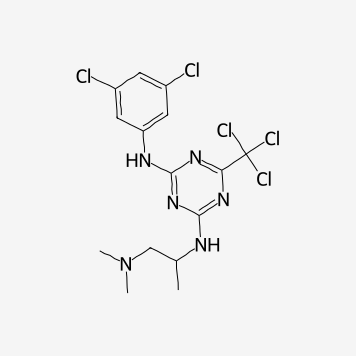 CC(CN(C)C)Nc1nc(Nc2cc(Cl)cc(Cl)c2)nc(C(Cl)(Cl)Cl)n1